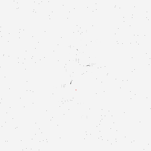 CCOC(=O)CC(O)[C@]12CC3OCCOC3CC1=CC[C@@H]1[C@@H]2CC[C@]2(C)C3OCCOC3C[C@@H]12